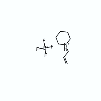 C=CC[NH+]1CCCCC1.F[B-](F)(F)F